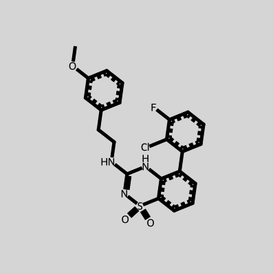 COc1cccc(CCNC2=NS(=O)(=O)c3cccc(-c4cccc(F)c4Cl)c3N2)c1